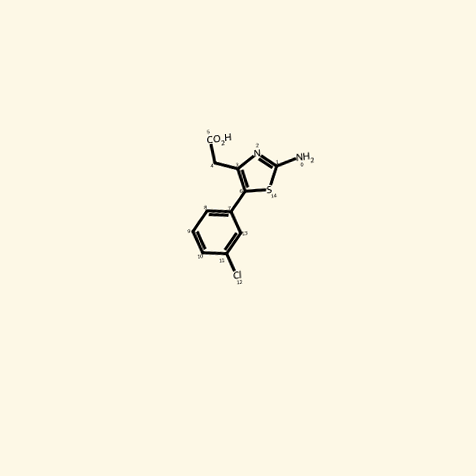 Nc1nc(CC(=O)O)c(-c2cccc(Cl)c2)s1